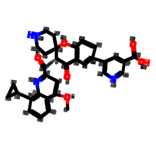 COc1cc(C(=O)[C@H]2C(=O)c3cc(-c4cncc(C(=O)O)c4)ccc3OC23CCNCC3)nc2c(C3CC3)cccc12